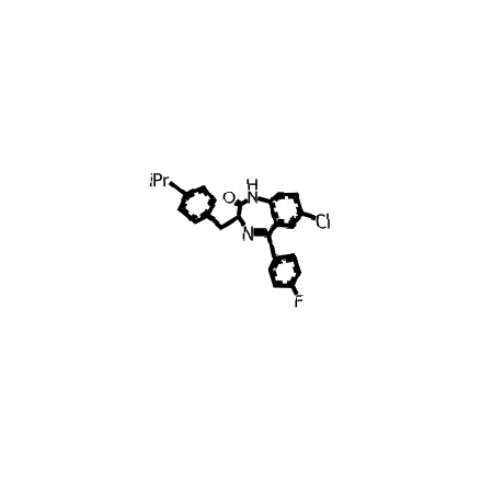 CC(C)c1ccc(CC2N=C(c3ccc(F)cc3)c3cc(Cl)ccc3NC2=O)cc1